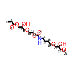 C=CC(=O)OCC(O)COCCOC(=O)NCCCCOCC(O)COC